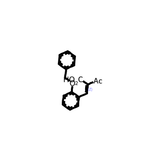 CC(=O)/C(=C/c1ccccc1OCc1ccccc1)C(=O)O